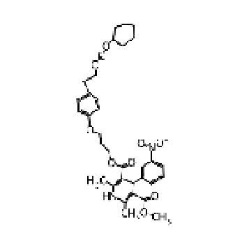 COC(=O)C1=C(C)NC(C)=C(C(=O)OCCCOc2ccc(CCOCOC3CCCCC3)cc2)[C@H]1c1cccc([N+](=O)[O-])c1